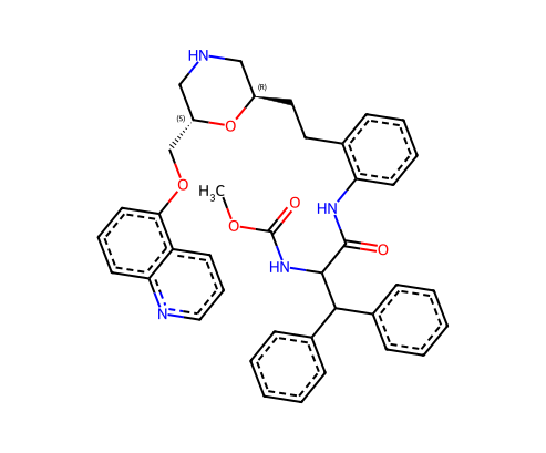 COC(=O)NC(C(=O)Nc1ccccc1CC[C@@H]1CNC[C@@H](COc2cccc3ncccc23)O1)C(c1ccccc1)c1ccccc1